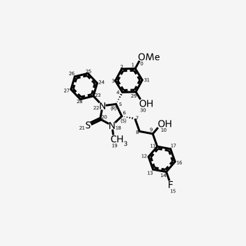 COc1ccc([C@@H]2[C@H](CCC(O)c3ccc(F)cc3)N(C)C(=S)N2c2ccccc2)c(O)c1